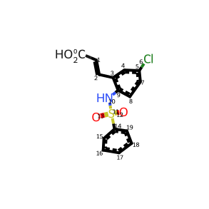 O=C(O)/C=C/c1cc(Cl)ccc1NS(=O)(=O)c1ccccc1